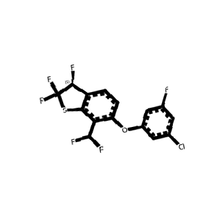 Fc1cc(Cl)cc(Oc2ccc3c(c2C(F)F)SC(F)(F)[C@H]3F)c1